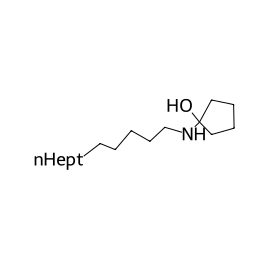 CCCCCCCCCCCCNC1(O)CCCC1